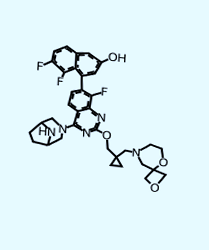 Oc1cc(-c2ccc3c(N4CC5CCC(C4)N5)nc(OCC4(CN5CCOC6(COC6)C5)CC4)nc3c2F)c2c(F)c(F)ccc2c1